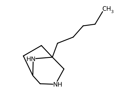 CCCCCC12CCC(CNC1)N2